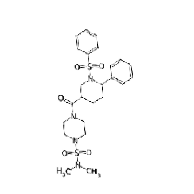 CN(C)S(=O)(=O)N1CCN(C(=O)C2CCC(c3ccccc3)N(S(=O)(=O)c3ccccc3)C2)CC1